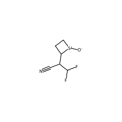 N#CC([C](F)F)C1CC[S+]1[O-]